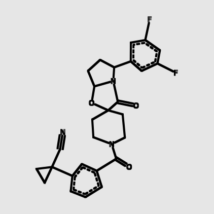 N#CC1(c2cccc(C(=O)N3CCC4(CC3)OC3CCC(c5cc(F)cc(F)c5)N3C4=O)c2)CC1